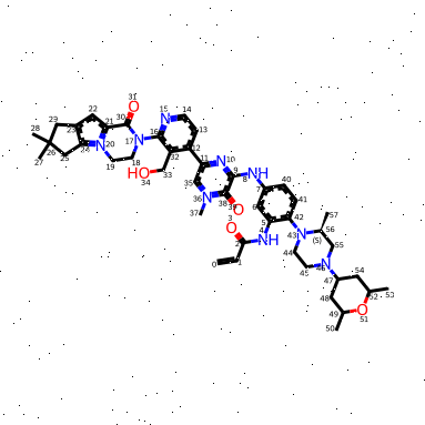 C=CC(=O)Nc1cc(Nc2nc(-c3ccnc(N4CCn5c(cc6c5CC(C)(C)C6)C4=O)c3CO)cn(C)c2=O)ccc1N1CCN(C2CC(C)OC(C)C2)C[C@@H]1C